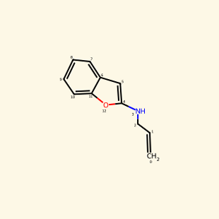 C=CCNc1cc2ccccc2o1